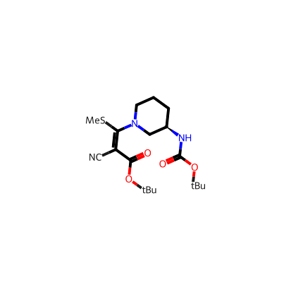 CSC(=C(C#N)C(=O)OC(C)(C)C)N1CCC[C@@H](NC(=O)OC(C)(C)C)C1